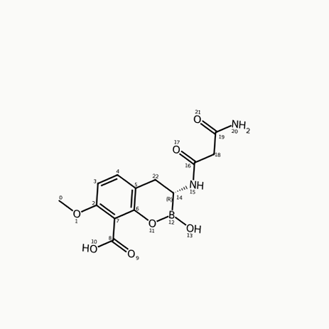 COc1ccc2c(c1C(=O)O)OB(O)[C@@H](NC(=O)CC(N)=O)C2